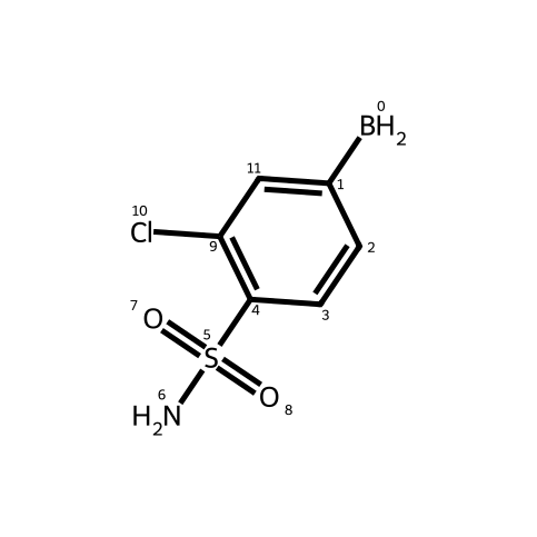 Bc1ccc(S(N)(=O)=O)c(Cl)c1